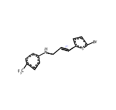 FC(F)(F)c1ccc(NC/C=C/c2ccc(Br)s2)cc1